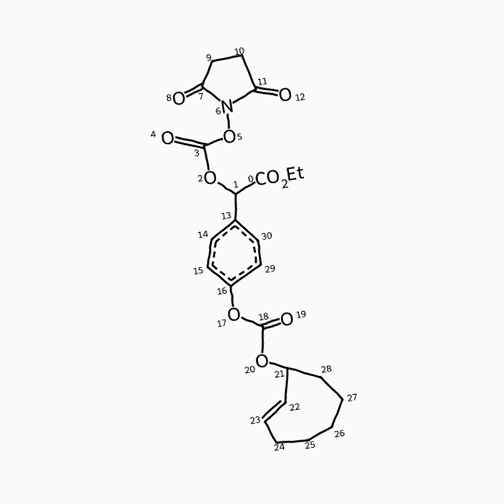 CCOC(=O)C(OC(=O)ON1C(=O)CCC1=O)c1ccc(OC(=O)OC2/C=C/CCCCC2)cc1